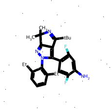 CCc1cccc(CC)c1-n1nc2c(c1-c1cc(F)c(N)cc1F)C(C(C)(C)C)=NC2(C)C